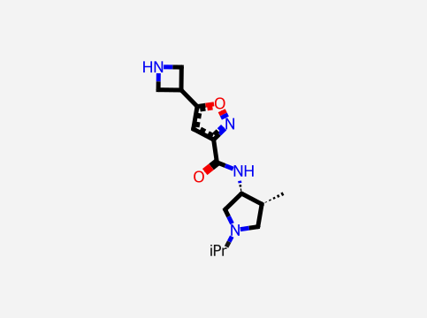 CC(C)N1C[C@@H](C)[C@@H](NC(=O)c2cc(C3CNC3)on2)C1